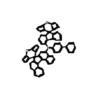 c1ccc(-c2ccc(N(c3cccc4c3-c3ccccc3C43c4ccccc4Oc4ccccc43)c3cc4c(c5ccccc35)-c3c(ccc5ccccc35)C43c4ccccc4Oc4ccccc43)cc2)cc1